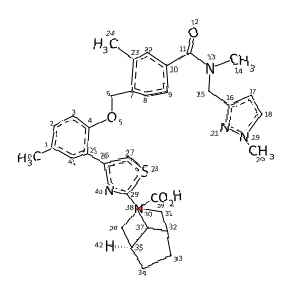 Cc1ccc(OCc2ccc(C(=O)N(C)Cc3ccn(C)n3)cc2C)c(-c2csc(N3CC4CC[C@@H](C3)C4CC(=O)O)n2)c1